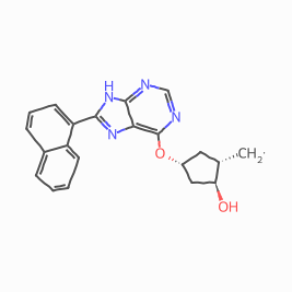 [CH2][C@H]1C[C@@H](Oc2ncnc3[nH]c(-c4cccc5ccccc45)nc23)C[C@@H]1O